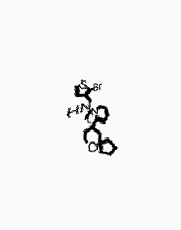 Brc1sccc1CNCC[C@@]1(c2ccccn2)CCOC2(CCCC2)C1